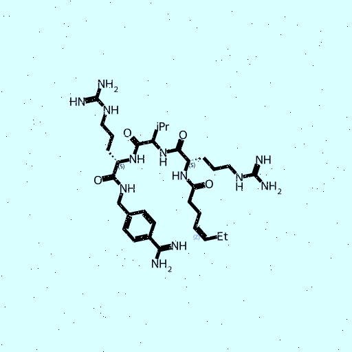 CC/C=C\CCC(=O)N[C@@H](CCCNC(=N)N)C(=O)NC(C(=O)N[C@@H](CCCNC(=N)N)C(=O)NCc1ccc(C(=N)N)cc1)C(C)C